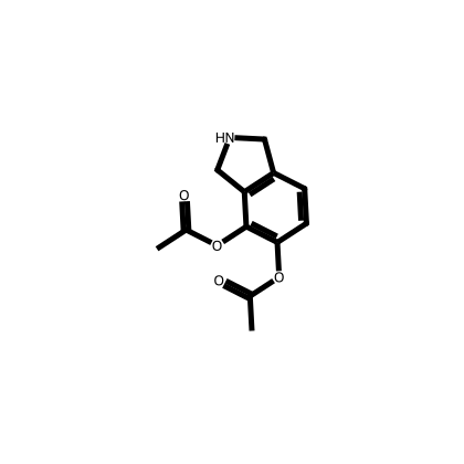 CC(=O)Oc1ccc2c(c1OC(C)=O)CNC2